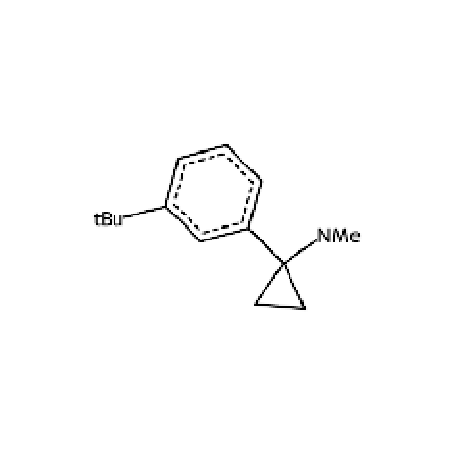 CNC1(c2cccc(C(C)(C)C)c2)CC1